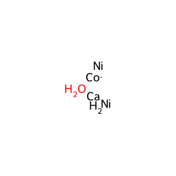 O.[CaH2].[Co].[Ni].[Ni]